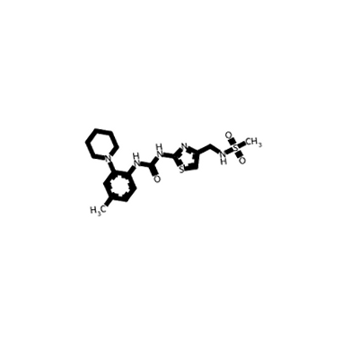 Cc1ccc(NC(=O)Nc2nc(CNS(C)(=O)=O)cs2)c(N2CCCCC2)c1